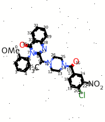 COc1ccccc1-n1c(C(C)N2CCN(C(=O)c3ccc(Cl)c([N+](=O)[O-])c3)CC2)nc2ccccc2c1=O